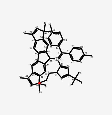 CCCC1C=C(C(C)(C)C)C=[C]1[Zr](=[C](c1ccc(C)cc1)c1ccc(C)cc1)[CH]1c2cc3c(cc2-c2cc4c(cc21)C(C)(C)C=C4C)C(C)=CC3(C)C